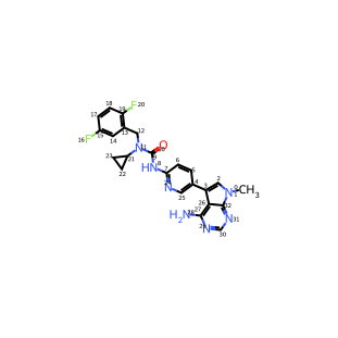 Cn1cc(-c2ccc(NC(=O)N(Cc3cc(F)ccc3F)C3CC3)nc2)c2c(N)ncnc21